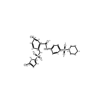 O=C(Nc1ccc(S(=O)(=O)N2CCCCC2)cc1)c1cc(Cl)ccc1CS(=O)(=O)c1ccc(Cl)s1